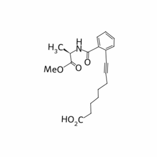 COC(=O)[C@@H](C)NC(=O)c1ccccc1C#CCCCCCC(=O)O